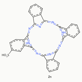 O=S(=O)(O)c1ccc2c3nc4nc(nc5[nH]c(nc6nc(nc([nH]3)c2c1)-c1ccccc1-6)c1ccccc51)-c1ccccc1-4.[Zn]